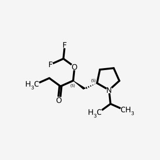 CCC(=O)[C@H](C[C@@H]1CCCN1C(C)C)OC(F)F